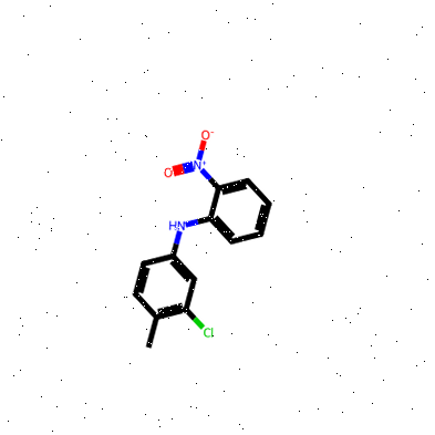 Cc1ccc(Nc2ccccc2[N+](=O)[O-])cc1Cl